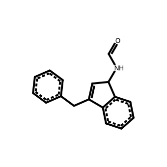 O=CNC1C=C(Cc2ccccc2)c2ccccc21